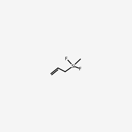 C=CC[Si](C)(F)F